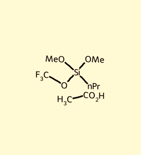 CC(=O)O.CCC[Si](OC)(OC)OC(F)(F)F